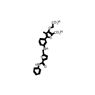 Cc1c(-c2cccc(NCc3ccc(C(=O)Nc4ccccc4)s3)c2)sc(C(=O)O)c1OCC(=O)O